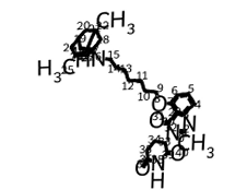 Cc1nc2cccc(OCCCCCCCNC34CC5CC(C)(CC(C)(C5)C3)C4)c2c(=O)n1[C@H]1CCC(=O)NC1=O